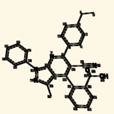 CCc1ccc(-c2nc3c(c(C)nn3-c3ccccc3)c(-c3ccccc3C(=O)O)c2C#N)cc1